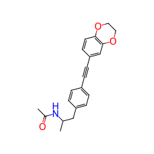 CC(=O)NC(C)Cc1ccc(C#Cc2ccc3c(c2)OCCO3)cc1